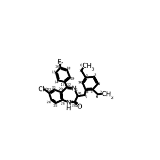 CCc1ccc(CC)c(CC2N=C(c3ccc(F)cc3)c3cc(Cl)ccc3NC2=O)c1